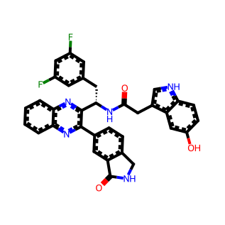 O=C(Cc1c[nH]c2ccc(O)cc12)N[C@@H](Cc1cc(F)cc(F)c1)c1nc2ccccc2nc1-c1ccc2c(c1)C(=O)NC2